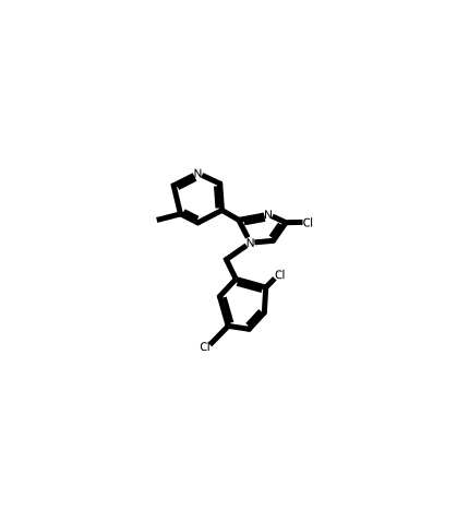 Cc1cncc(-c2nc(Cl)cn2Cc2cc(Cl)ccc2Cl)c1